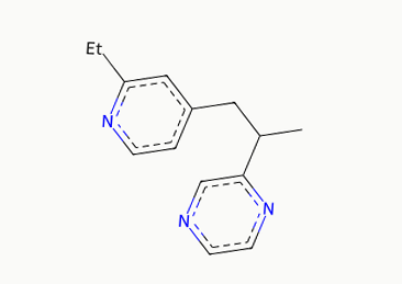 CCc1cc(CC(C)c2cnccn2)ccn1